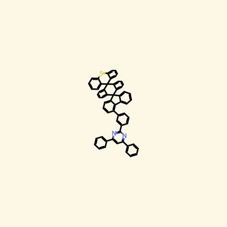 c1ccc(-c2cc(-c3ccccc3)nc(-c3cccc(-c4cccc5c4-c4ccccc4C54c5ccccc5C5(c6ccccc6Sc6ccccc65)c5ccccc54)c3)n2)cc1